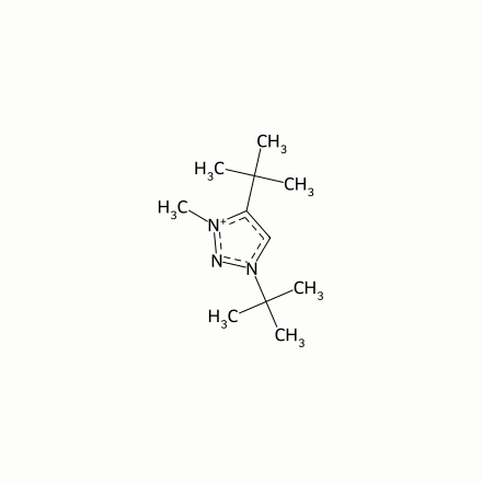 C[n+]1nn(C(C)(C)C)cc1C(C)(C)C